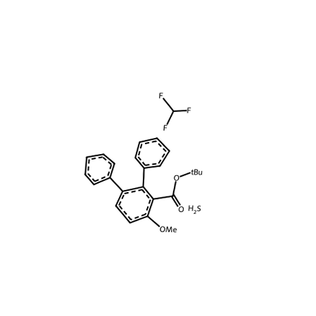 COc1ccc(-c2ccccc2)c(-c2ccccc2)c1C(=O)OC(C)(C)C.FC(F)F.S